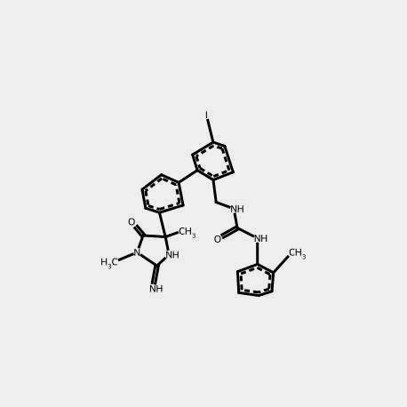 Cc1ccccc1NC(=O)NCc1ccc(I)cc1-c1cccc(C2(C)NC(=N)N(C)C2=O)c1